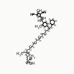 CC[N+](CC)(CCCS(=O)(=O)O)CCOCCOCCOCCOCCN(Cc1ccccc1)c1ccc(NNc2sc(C#N)c(C)c2C#N)c(C)c1